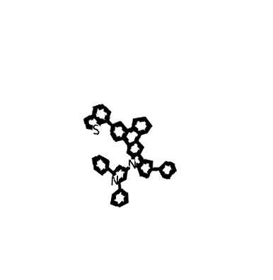 c1ccc(-c2ccc3c(c2)c2cc4c5ccccc5c5cc(-c6cccc7ccsc67)ccc5c4cc2n3-c2cc(-c3ccccc3)nc(-c3ccccc3)c2)cc1